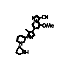 COc1cc(-c2cnn(C3=CC=CN([C@H]4CCCNC4)C3)c2C)cn2ncc(C#N)c12